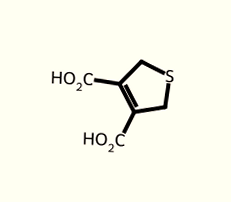 O=C(O)C1=C(C(=O)O)CSC1